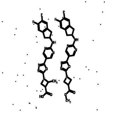 CC1C(C(=O)O)CN1c1nnc(-c2cnc(NC3Cc4cc(F)c(F)cc4C3)nc2)o1.COC(=O)C1CN(c2nnc(-c3cnc(NC4Cc5cc(F)c(F)cc5C4)nc3)o2)C1